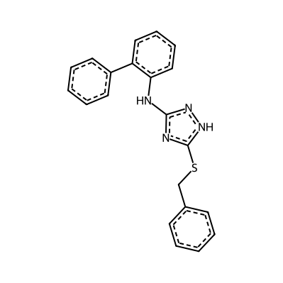 c1ccc(CSc2nc(Nc3ccccc3-c3ccccc3)n[nH]2)cc1